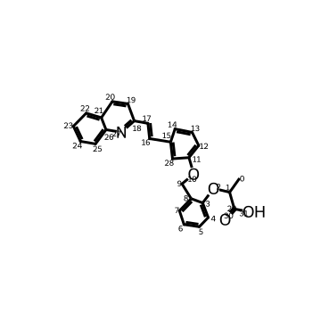 CC(Oc1ccccc1COc1cccc(C=Cc2ccc3ccccc3n2)c1)C(=O)O